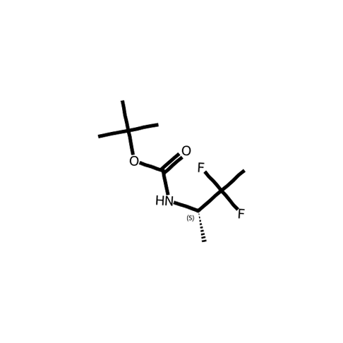 C[C@H](NC(=O)OC(C)(C)C)C(C)(F)F